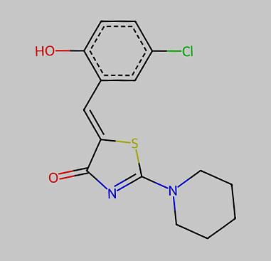 O=C1N=C(N2CCCCC2)SC1=Cc1cc(Cl)ccc1O